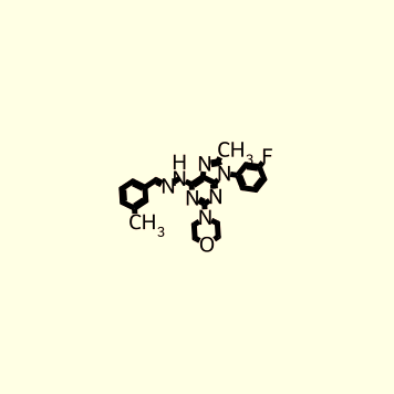 Cc1cccc(/C=N/Nc2nc(N3CCOCC3)nc3c2nc(C)n3-c2cccc(F)c2)c1